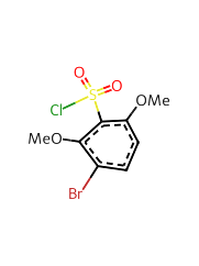 COc1ccc(Br)c(OC)c1S(=O)(=O)Cl